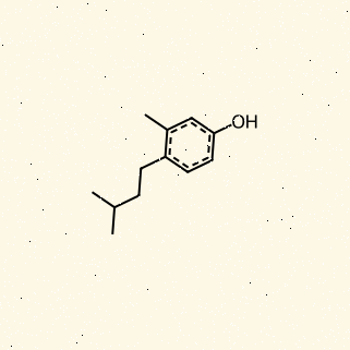 Cc1cc(O)ccc1CCC(C)C